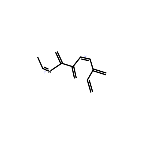 C=CC(=C)/C=C\C(=C)C(=C)/N=C\C